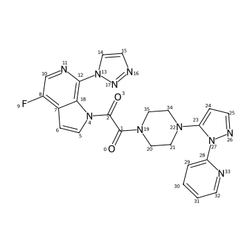 O=C(C(=O)n1ccc2c(F)cnc(-n3ccnn3)c21)N1CCN(c2ccnn2-c2ccccn2)CC1